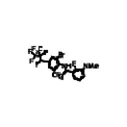 CNc1cccc(C(=O)Nc2c(Br)cc(C(F)C(F)(C(F)F)C(F)(F)F)cc2C(F)(F)F)c1F